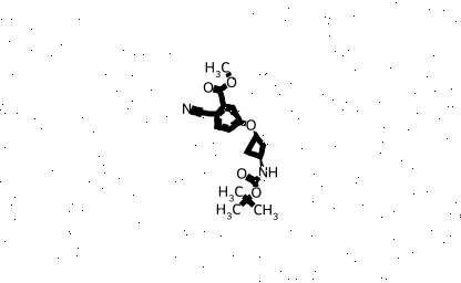 COC(=O)c1cc(O[C@H]2C[C@H](NC(=O)OC(C)(C)C)C2)ccc1C#N